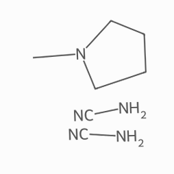 CN1CCCC1.N#CN.N#CN